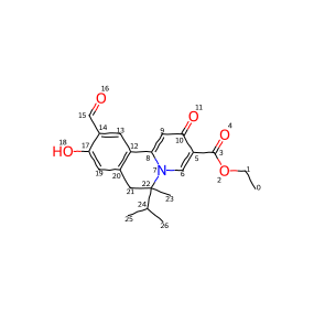 CCOC(=O)c1cn2c(cc1=O)-c1cc(C=O)c(O)cc1CC2(C)C(C)C